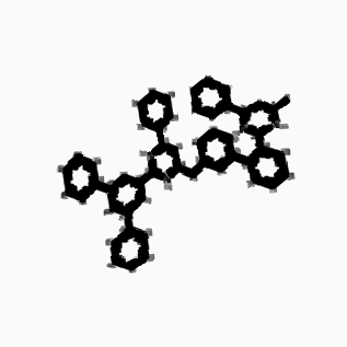 Cc1cc(-c2ccccc2)nc(-c2ccccc2-c2cccc(Cc3cc(-c4ccccc4)nc(-c4cc(-c5ccccc5)cc(-c5ccccc5)c4)n3)c2)n1